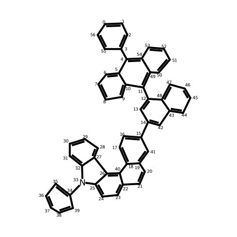 c1ccc(-c2c3ccccc3c(-c3cc(-c4ccc5c(ccc6ccc7c(c8ccccc8n7-c7ccccc7)c65)c4)cc4ccccc34)c3ccccc23)cc1